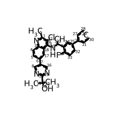 Cc1nc2ccc(-c3cnc(C(C)(C)O)nc3)cc2c(NC(C)c2cc(-c3ccccc3)ccc2F)c1Cl